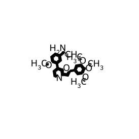 COc1ccc([C@@H](C)N)cc1-c1ccnc2cc(-c3cc(OC)c(OC)c(OC)c3)oc12